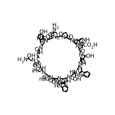 CCCC[C@H]1C(=O)N(C)[C@@H](CCCC)C(=O)N[C@@H](CC(C)C)C(=O)N[C@H](C(=O)NCC(N)=O)CSCC(=O)N[C@@H](Cc2ccc(O)cc2)C(=O)N(C)[C@@H](C)C(=O)N[C@@H](CC(N)=O)C(=O)N2CCC[C@H]2C(=O)N[C@@H](Cc2c[nH]cn2)C(=O)N[C@@H](CCC(=O)O)C(=O)N2C[C@H](O)C[C@H]2C(=O)N[C@@H](Cc2c[nH]c3ccccc23)C(=O)N[C@@H](CO)C(=O)N[C@@H](Cc2c[nH]c3ccccc23)C(=O)N1C